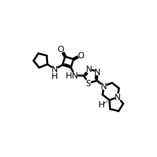 O=c1c(Nc2nnc(N3CCN4CCC[C@H]4C3)s2)c(NC2CCCC2)c1=O